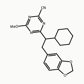 COc1nc(C#N)nc(C(Cc2ccc3c(c2)OCO3)C2CCCCC2)n1